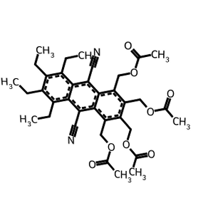 CCc1c(CC)c(CC)c2c(C#N)c3c(COC(C)=O)c(COC(C)=O)c(COC(C)=O)c(COC(C)=O)c3c(C#N)c2c1CC